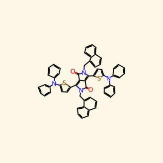 O=C1C2=C(c3ccc(N(c4ccccc4)c4ccccc4)s3)N(Cc3cccc4ccccc34)C(=O)C2=C(c2ccc(N(c3ccccc3)c3ccccc3)s2)N1Cc1cccc2ccccc12